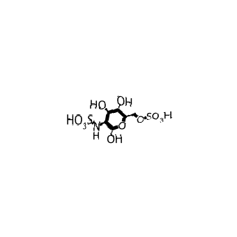 O=S(=O)(O)N[C@H]1[C@@H](O)[C@H](O)[C@@H](COS(=O)(=O)O)O[C@@H]1O